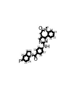 CN1C(=O)Cc2cnc(Nc3ccc(C(=O)N4CCc5cc(F)ccc54)cc3)nc2-c2ccccc21